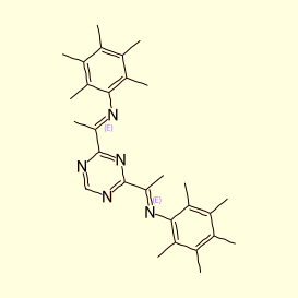 C/C(=N\c1c(C)c(C)c(C)c(C)c1C)c1ncnc(/C(C)=N/c2c(C)c(C)c(C)c(C)c2C)n1